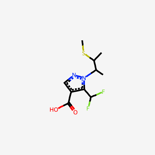 CSC(C)C(C)n1ncc(C(=O)O)c1C(F)F